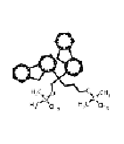 C[Si](C)(C)OCCCC(CO[Si](C)(C)C)(c1cccc2c1Cc1ccccc1-2)c1cccc2c1Cc1ccccc1-2